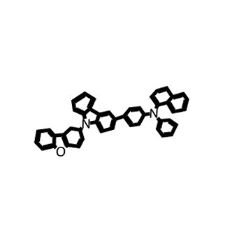 C1=CC(N(c2ccccc2)c2cccc3ccccc23)CC=C1c1ccc2c(c1)c1ccccc1n2C1C=Cc2oc3ccccc3c2C1